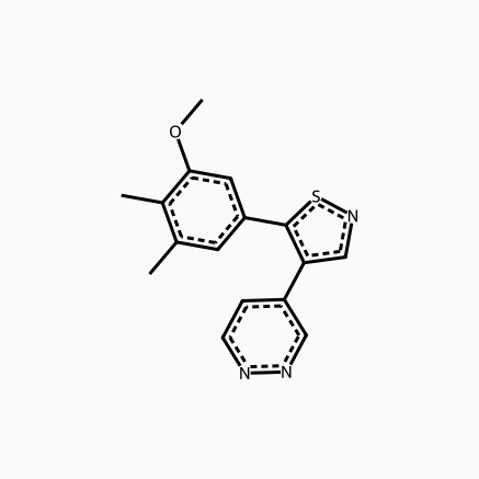 COc1cc(-c2sncc2-c2ccnnc2)cc(C)c1C